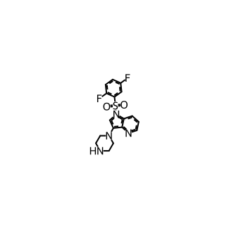 O=S(=O)(c1cc(F)ccc1F)n1cc(N2CCNCC2)c2ncccc21